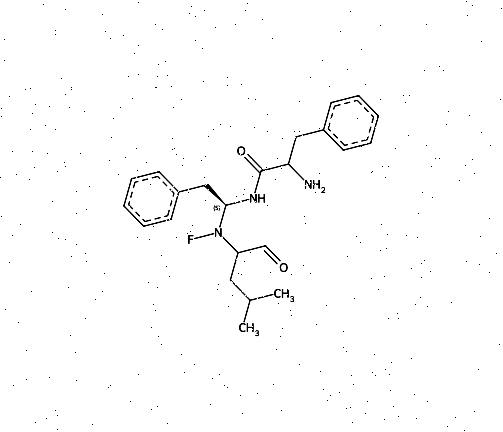 CC(C)CC(C=O)N(F)[C@@H](Cc1ccccc1)NC(=O)C(N)Cc1ccccc1